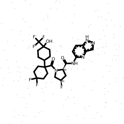 O=C(Nc1ccc2[nH]ncc2n1)[C@H]1C[C@@H](F)CN1C(=O)C1(C2CCC(O)(C(F)(F)F)CC2)CCC(F)(F)CC1